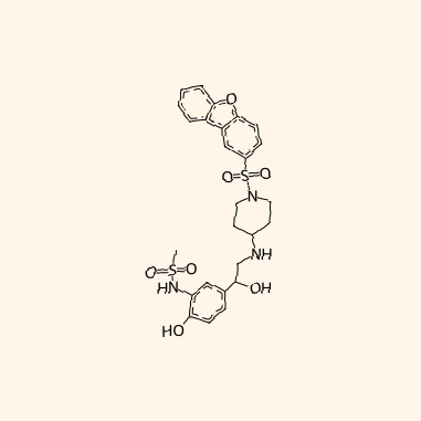 CS(=O)(=O)Nc1cc(C(O)CNC2CCN(S(=O)(=O)c3ccc4oc5ccccc5c4c3)CC2)ccc1O